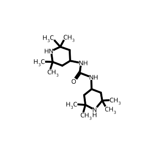 CC1(C)CC(NC(=O)NC2CC(C)(C)NC(C)(C)C2)CC(C)(C)N1